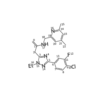 C=C(Cc1nc(-c2ccc(Cl)c(F)c2)nn1CC)NCc1cc(C)cc(C)n1